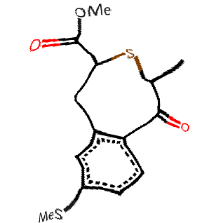 COC(=O)C1Cc2cc(SC)ccc2C(=O)C(C)S1